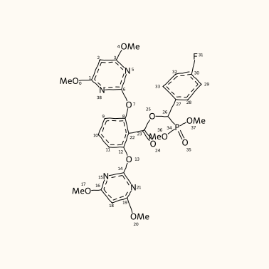 COc1cc(OC)nc(Oc2cccc(Oc3nc(OC)cc(OC)n3)c2C(=O)OC(c2ccc(F)cc2)P(=O)(OC)OC)n1